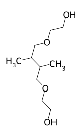 CC(COCCO)C(C)COCCO